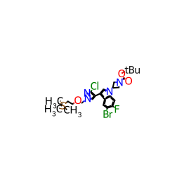 CC(C)(C)OC(=O)N1CC(n2cc(-c3cn(COCCS(C)(C)C)nc3Cl)c3cc(Br)c(F)cc32)C1